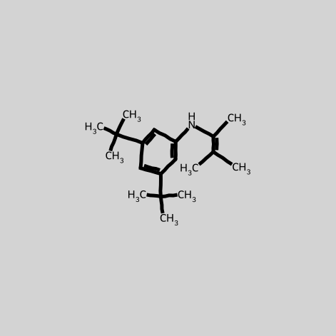 CC(C)=C(C)Nc1cc(C(C)(C)C)cc(C(C)(C)C)c1